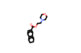 O=C(OCCN1CCOCC1)C1CC2CC1C1C3CCC(C3)C21